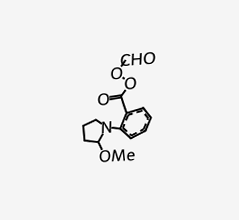 COC1CCCN1c1ccccc1C(=O)OOC=O